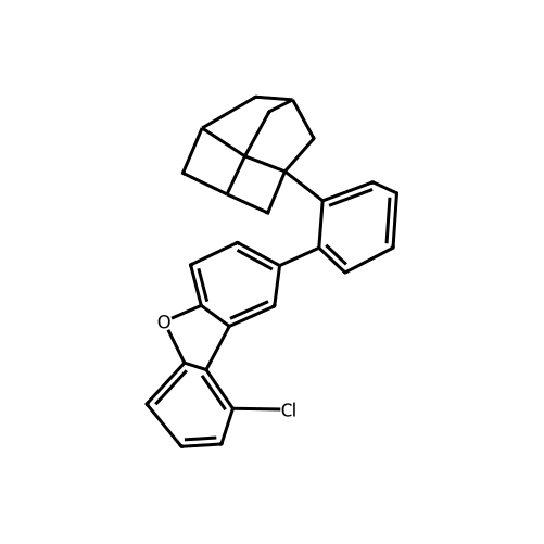 Clc1cccc2oc3ccc(-c4ccccc4C45CC6CC7CC(C4)C75C6)cc3c12